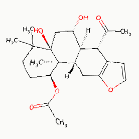 CC(=O)O[C@H]1CCC(C)(C)[C@]2(O)C[C@H](O)[C@H]3[C@H](C(C)=O)c4ccoc4C[C@@H]3[C@@]12C